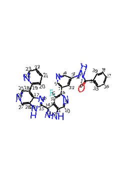 O=C(Nc1cncc(-c2ncc3[nH]nc(-c4nc5c(-c6ccccn6)cncc5[nH]4)c3c2F)c1)c1ccccc1